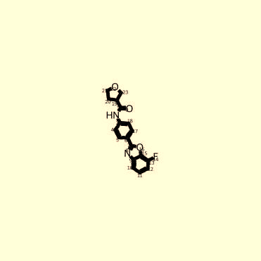 O=C(Nc1ccc(-c2nc3cccc(F)c3o2)cc1)C1CCOC1